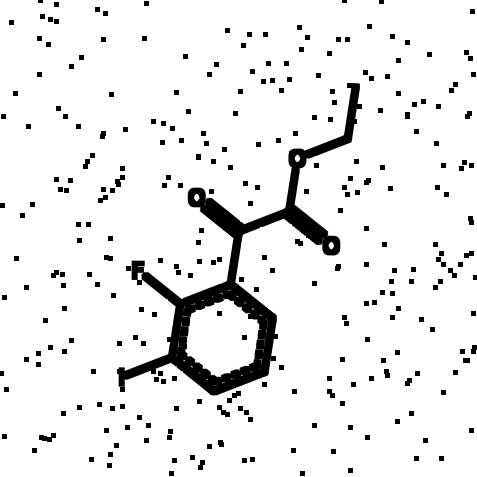 CCOC(=O)C(=O)c1cccc(I)c1F